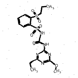 CCCS(=O)(=O)c1ccccc1S(=O)(=O)NC(=O)Nc1nc(CC)nc(OC)n1